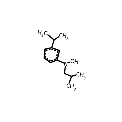 CC(C)CN(O)c1cccc(C(C)C)c1